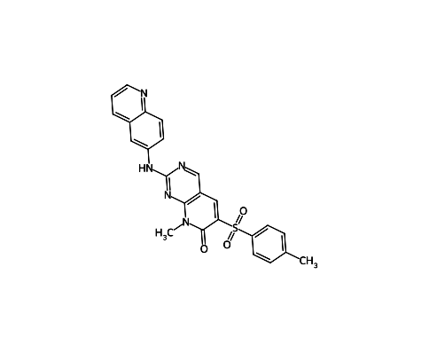 Cc1ccc(S(=O)(=O)c2cc3cnc(Nc4ccc5ncccc5c4)nc3n(C)c2=O)cc1